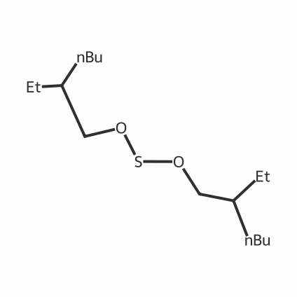 CCCCC(CC)COSOCC(CC)CCCC